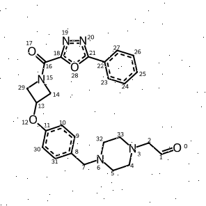 O=CCN1CCN(Cc2ccc(OC3CN(C(=O)c4nnc(-c5ccccc5)o4)C3)cc2)CC1